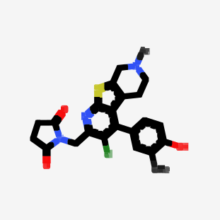 COc1cc(-c2c(Cl)c(CN3C(=O)CCC3=O)nc3sc4c(c23)CCN(C(C)=O)C4)ccc1O